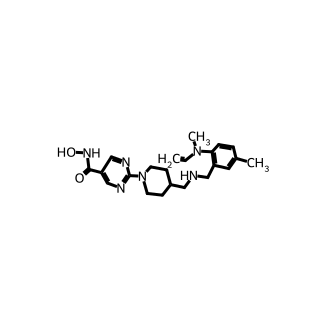 C=CN(C)c1ccc(C)cc1CNCC1CCN(c2ncc(C(=O)NO)cn2)CC1